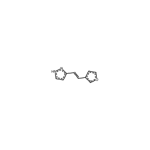 C(=Cc1cc[nH]n1)c1ccoc1